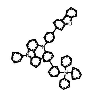 c1ccc(-n2c3ccccc3c3c(N(c4ccc(-c5cccc([Si](c6ccccc6)(c6ccccc6)c6ccccc6)c5)cc4)c4ccc(-c5ccc6c(c5)oc5ccccc56)cc4)cccc32)cc1